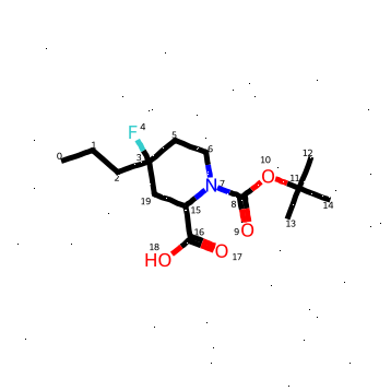 CCCC1(F)CCN(C(=O)OC(C)(C)C)C(C(=O)O)C1